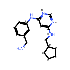 NCc1cccc(Nc2cc(NCC3CCCC3)ncn2)c1